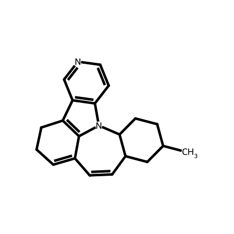 CC1CCC2C(C=CC3=CCCc4c3n2c2ccncc42)C1